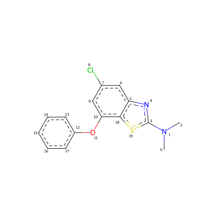 CN(C)c1nc2cc(Cl)cc(Oc3ccccc3)c2s1